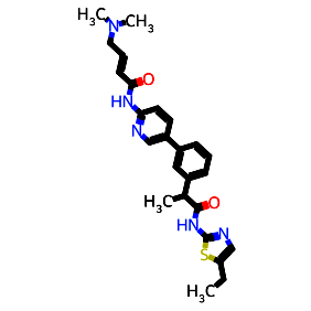 CCc1cnc(NC(=O)C(C)c2cccc(-c3ccc(NC(=O)/C=C/CN(C)C)nc3)c2)s1